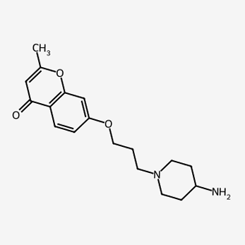 Cc1cc(=O)c2ccc(OCCCN3CCC(N)CC3)cc2o1